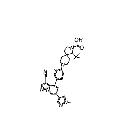 Cn1cc(-c2cc(-c3ccc(N4CCC5(CC4)CCN(C(=O)O)C5C(C)(C)C)nc3)c3c(C#N)cnn3c2)cn1